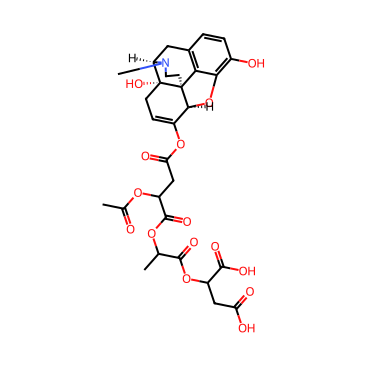 CC(=O)OC(CC(=O)OC1=CC[C@@]2(O)[C@H]3Cc4ccc(O)c5c4[C@@]2(CCN3C)[C@H]1O5)C(=O)OC(C)C(=O)OC(CC(=O)O)C(=O)O